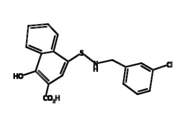 O=C(O)c1cc(SNCc2cccc(Cl)c2)c2ccccc2c1O